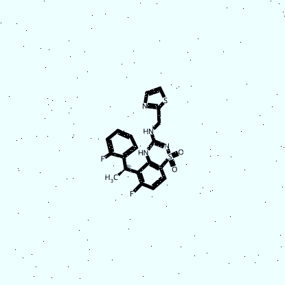 C[C@@H](c1ccccc1F)c1c(F)ccc2c1NC(NCc1nccs1)=NS2(=O)=O